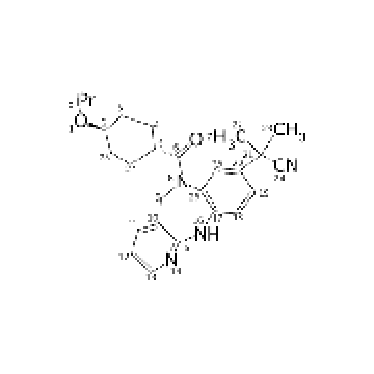 CC(C)O[C@H]1CC[C@H](C(=O)N2Cc3cccnc3Nc3ccc(C(C)(C)C#N)cc32)CC1